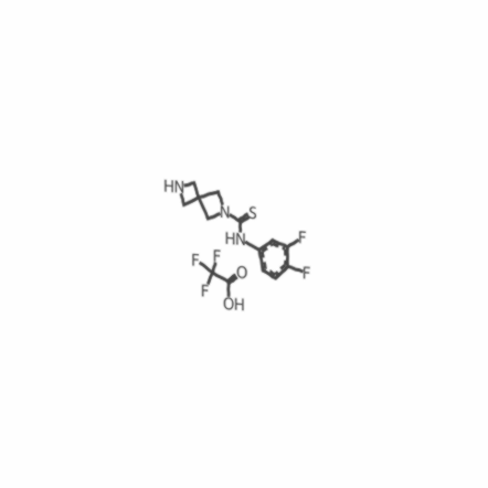 Fc1ccc(NC(=S)N2CC3(CNC3)C2)cc1F.O=C(O)C(F)(F)F